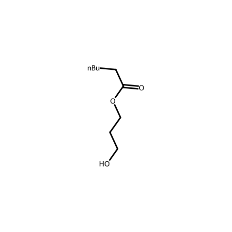 CCCCCC(=O)OCCCO